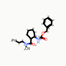 CC(C)CCN(C#N)C(=O)C1CCCCC1NC(=O)OCc1ccccc1